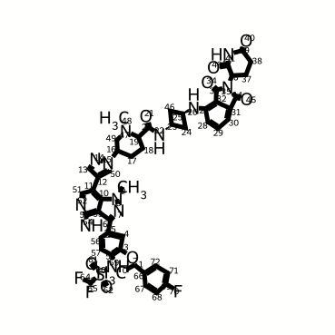 CC(Oc1cc(-c2nn(C)c3c(-c4cnn(C5CCC(C(=O)N[C@H]6C[C@H](Nc7cccc8c7C(=O)N(C7CCC(=O)NC7=O)C8=O)C6)N(C)C5)c4)cnc(N)c23)ccc1NS(=O)(=O)C(F)F)c1ccc(F)cc1